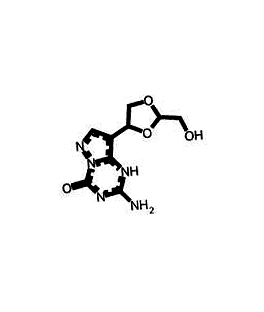 Nc1nc(=O)n2ncc(C3COC(CO)O3)c2[nH]1